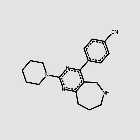 N#Cc1ccc(-c2nc(N3CCCCC3)nc3c2CNCCC3)cc1